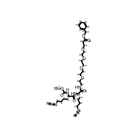 CC(C)(C)OC(=O)N[C@@H](CCCCN=[N+]=[N-])C(=O)N[C@@H](CCCCN=[N+]=[N-])C(=O)NCCOCCOCCOCCOCCC(=O)OCc1ccccc1